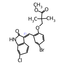 COC(=O)C(C)(C)COc1ccc(Br)cc1/C=C1/C(=O)Nc2cc(Cl)ccc21